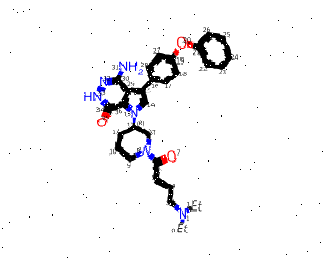 CCN(CC)CC=CC(=O)N1CCC[C@@H](n2cc(-c3ccc(Oc4ccccc4)cc3)c3c(N)n[nH]c(=O)c32)C1